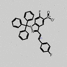 O=[N+]([O-])c1cc2c(/C=C/c3ccc(F)cc3)nn(C(c3ccccc3)(c3ccccc3)c3ccccc3)c2cc1F